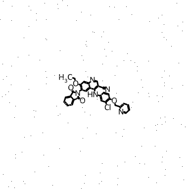 CCOc1cc2ncc(C#N)c(Nc3ccc(OCc4ccccn4)c(Cl)c3)c2cc1N1C(=O)c2ccccc2C1=O